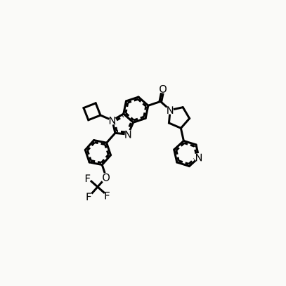 O=C(c1ccc2c(c1)nc(-c1cccc(OC(F)(F)F)c1)n2C1CCC1)N1CCC(c2cccnc2)C1